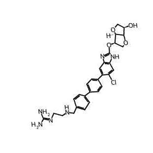 NC(N)=NCCNCc1ccc(-c2ccc(-c3cc4nc(O[C@@H]5COC6[C@H](O)CO[C@@H]65)[nH]c4cc3Cl)cc2)cc1